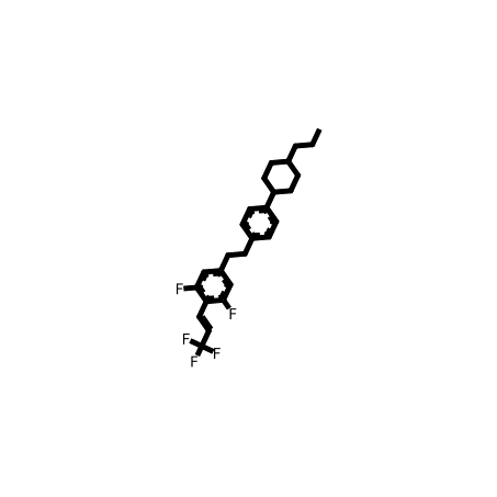 CCCC1CCC(c2ccc(CCc3cc(F)c(/C=C/C(F)(F)F)c(F)c3)cc2)CC1